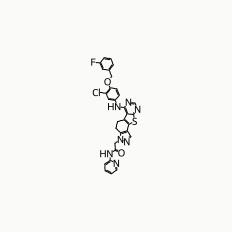 O=C(Cn1ncc2c1CCc1c-2sc2ncnc(Nc3ccc(OCc4cccc(F)c4)c(Cl)c3)c12)Nc1ccccn1